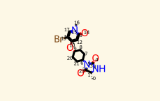 C[C@H]1NC(=O)N(C2CCC(Oc3cc(=O)n(C)cc3Br)CC2)C1=O